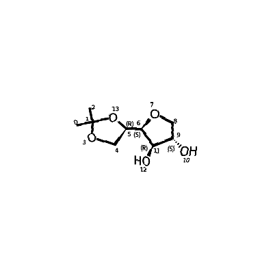 CC1(C)OC[C@H]([C@H]2OC[C@H](O)[C@H]2O)O1